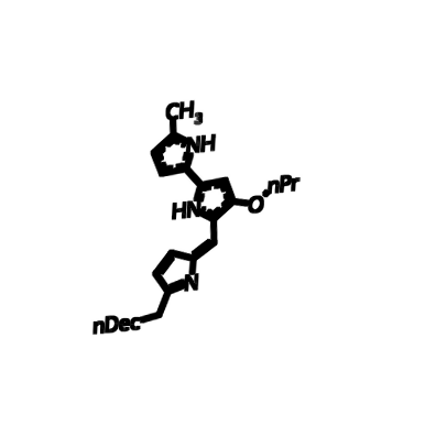 CCCCCCCCCCCC1=N/C(=C/c2[nH]c(-c3ccc(C)[nH]3)cc2OCCC)C=C1